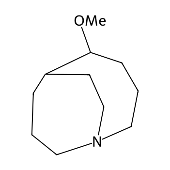 COC1CCCN2CCCC1CC2